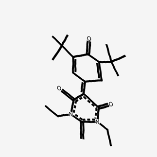 C=c1n(CC)c(=O)c(=C2C=C(C(C)(C)C)C(=O)C(C(C)(C)C)=C2)c(=O)n1CC